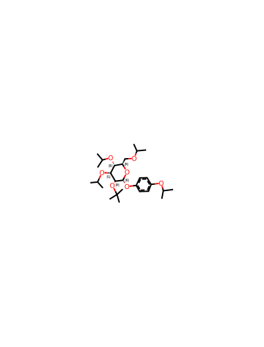 CC(C)OC[C@H]1O[C@H](Oc2ccc(OC(C)C)cc2)[C@H](OC(C)(C)C)[C@@H](OC(C)C)[C@@H]1OC(C)C